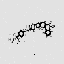 CC(C)(C)c1ccc(OC[C@@H](O)CN2CCC3(CSC4=C(O3)c3ccccc3C(=O)C4=O)C2)cc1